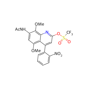 COc1c(NC(C)=O)cc(OC)c2c(-c3ccccc3[N+](=O)[O-])cc(OS(=O)(=O)C(F)(F)F)nc12